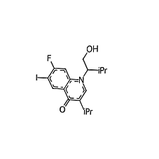 CC(C)c1cn(C(CO)C(C)C)c2cc(F)c(I)cc2c1=O